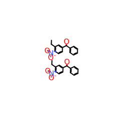 CCc1cc(C(=O)c2ccccc2)ccc1[N+](=O)[O-].CCc1cc(C(=O)c2ccccc2)ccc1[N+](=O)[O-]